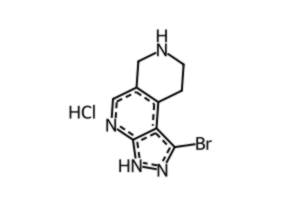 Brc1n[nH]c2ncc3c(c12)CCNC3.Cl